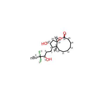 CCCCC(F)(F)[C@H](O)CC[C@@H]1[C@H]2CCCCCCC(=O)O[C@H]2C[C@H]1O